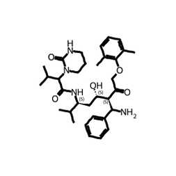 Cc1cccc(C)c1OCC(=O)[C@@H](C(N)c1ccccc1)[C@@H](O)C[C@H](NC(=O)C(C(C)C)N1CCCNC1=O)C(C)C